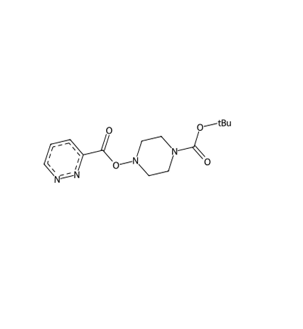 CC(C)(C)OC(=O)N1CCN(OC(=O)c2cccnn2)CC1